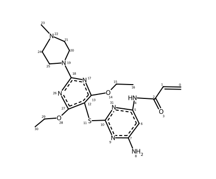 C=CC(=O)Nc1cc(N)nc(Sc2c(OCC)nc(N3CCN(C)CC3)nc2OCC)n1